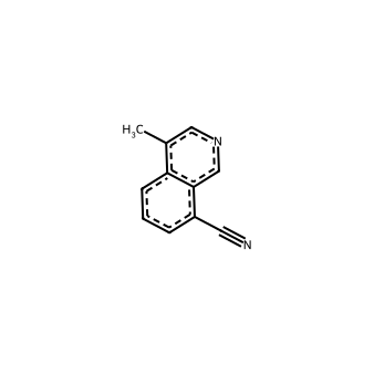 Cc1cncc2c(C#N)cccc12